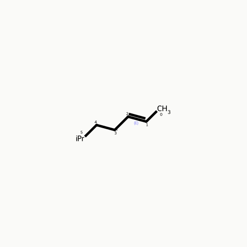 C/C=C/[CH]CC(C)C